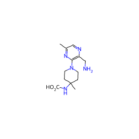 Cc1cnc(CN)c(N2CCC(C)(NC(=O)O)CC2)n1